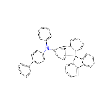 CC1C=CC=CC1C1(c2ccc(N(c3ccccc3)c3ccc(-c4ccccc4)cc3)cc2)c2ccccc2-c2ccccc21